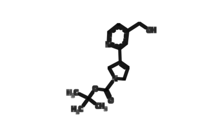 CC(C)(C)OC(=O)N1CC=C(c2cc(CO)ccn2)C1